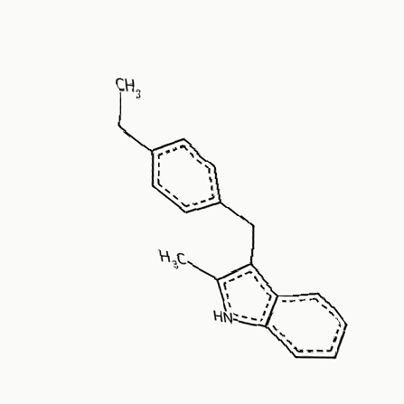 CCc1ccc(Cc2c(C)[nH]c3ccccc23)cc1